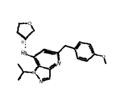 COc1ccc(Cc2cc(N[C@@H]3CCOC3)c3c(cnn3C(C)C)n2)cc1